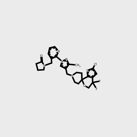 Cc1nn(-c2ncccc2CN2CCCC2=O)cc1CN1CCC2(CC1)OCC(F)(F)c1cc(Cl)sc12